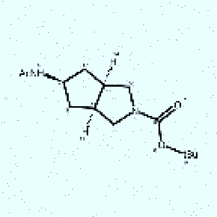 CC(=O)N[C@@H]1C[C@@H]2CN(C(=O)OC(C)(C)C)C[C@@H]2C1